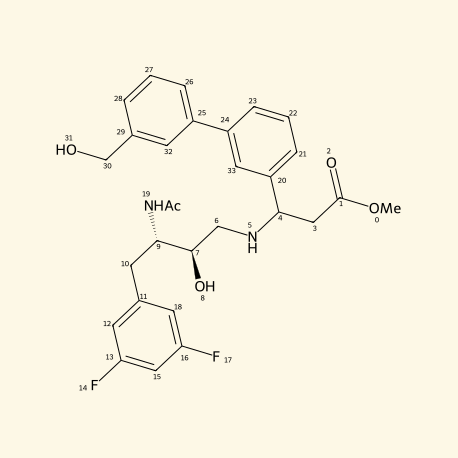 COC(=O)CC(NC[C@@H](O)[C@H](Cc1cc(F)cc(F)c1)NC(C)=O)c1cccc(-c2cccc(CO)c2)c1